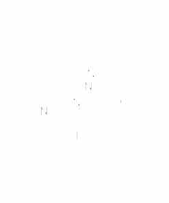 CC(O)Cc1cc(Nc2cc(C3CC3)nn2C2CCOCC2)ccn1